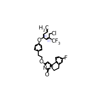 C=C/C=C(\C=C(/CCl)C(F)(F)F)Oc1ccc(CCOc2cc3n(c(=O)n2)CCc2cc(F)ccc2-3)cc1